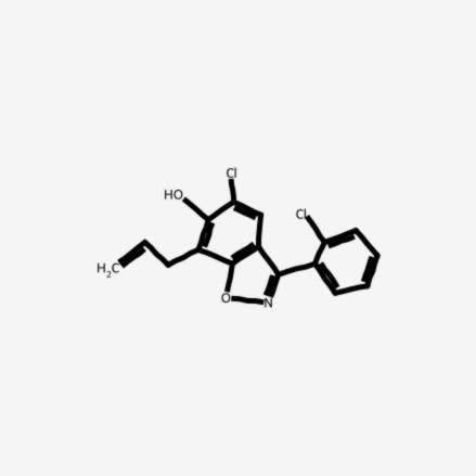 C=CCc1c(O)c(Cl)cc2c(-c3ccccc3Cl)noc12